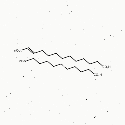 CCCCCCCCC=CCCCCCCCCCC(=O)O.CCCCCCCCCCCCCCCCCCCC(=O)O